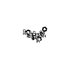 C#C[C@@]1(O)[C@H](O)[C@@H](COP(=O)(NC(CC(C)C)C(=O)OC(C)C)Oc2ccccc2)O[C@H]1n1ccc(=O)[nH]c1=O